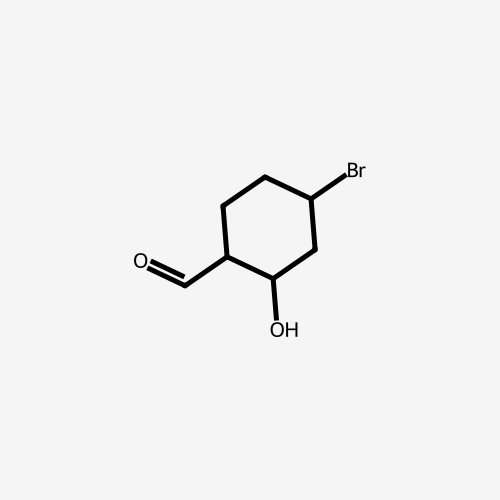 O=CC1CCC(Br)CC1O